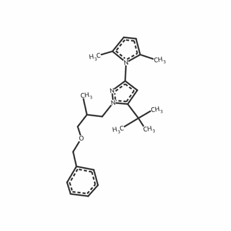 Cc1ccc(C)n1-c1cc(C(C)(C)C)n(CC(C)COCc2ccccc2)n1